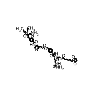 CCCN(CCC)C(=O)C1=Cc2ccc(C(=O)Nc3cncc(CNC(=O)OCc4ccc(NC(=O)[C@H](CCCNC(N)=O)NC(=O)CNC(=O)CCCCCN5C(=O)C=CC5=O)cc4)c3)cc2N=C(N)C1